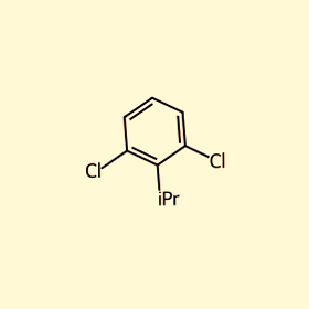 CC(C)c1c(Cl)cccc1Cl